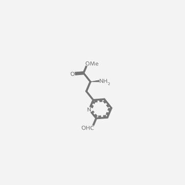 COC(=O)[C@@H](N)Cc1cccc(C=O)n1